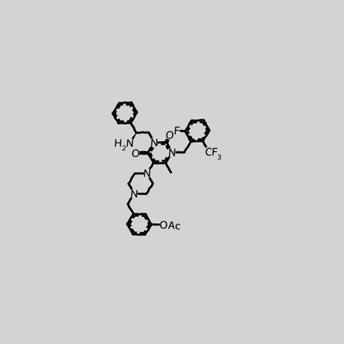 CC(=O)Oc1cccc(CN2CCN(c3c(C)n(Cc4c(F)cccc4C(F)(F)F)c(=O)n(C[C@@H](N)c4ccccc4)c3=O)CC2)c1